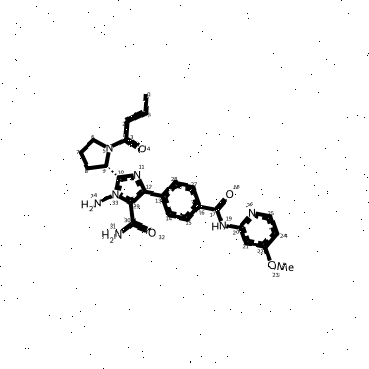 C/C=C/C(=O)N1CCC[C@H]1c1nc(-c2ccc(C(=O)Nc3cc(OC)ccn3)cc2)c(C(N)=O)n1N